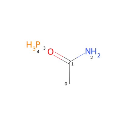 CC(N)=O.P